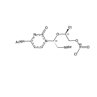 CC[C@@H](CO[PH](=O)Cl)O[C@H](CNC)n1ccc(NC(C)=O)nc1=O